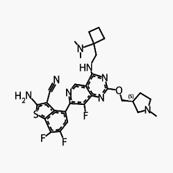 CN1CC[C@H](COc2nc(NCC3(N(C)C)CCC3)c3cnc(-c4cc(F)c(F)c5sc(N)c(C#N)c45)c(F)c3n2)C1